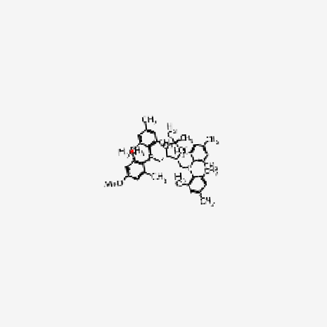 COc1cc(C)c(P(C[C@@H]2OC(C)(C)O[C@H]2CP(c2c(C)cc(C)cc2C)c2c(C)cc(C)cc2C)c2c(C)cc(C)cc2C)c(C)c1